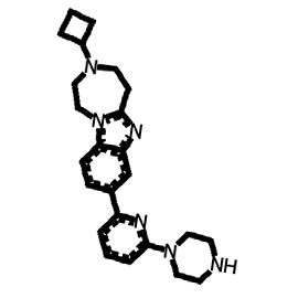 c1cc(-c2ccc3c(c2)nc2n3CCN(C3CCC3)CC2)nc(N2CCNCC2)c1